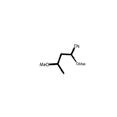 COC(C)CC(C#N)OC